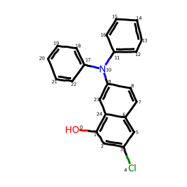 Oc1cc(Cl)cc2ccc(N(c3ccccc3)c3ccccc3)cc12